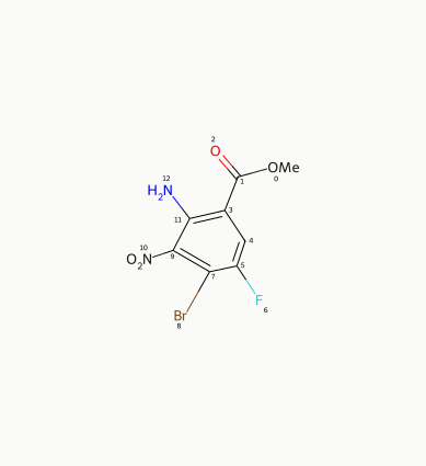 COC(=O)c1cc(F)c(Br)c([N+](=O)[O-])c1N